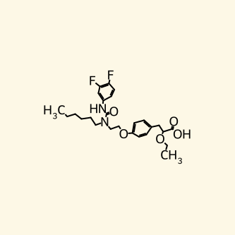 CCCCCCN(CCOc1ccc(CC(OCC)C(=O)O)cc1)C(=O)Nc1ccc(F)c(F)c1